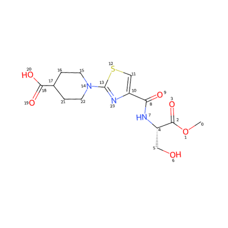 COC(=O)[C@H](CO)NC(=O)c1csc(N2CCC(C(=O)O)CC2)n1